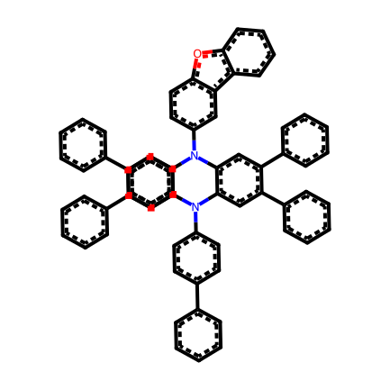 c1ccc(-c2ccc(N(c3ccc(-c4ccccc4)cc3)c3cc(-c4ccccc4)c(-c4ccccc4)cc3N(c3ccc(-c4ccccc4)cc3)c3ccc4oc5ccccc5c4c3)cc2)cc1